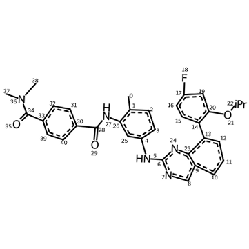 Cc1ccc(Nc2ncc3cccc(-c4ccc(F)cc4OC(C)C)c3n2)cc1NC(=O)c1ccc(C(=O)N(C)C)cc1